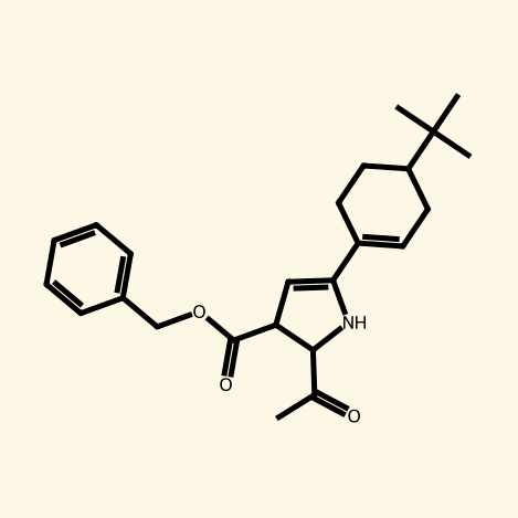 CC(=O)C1NC(C2=CCC(C(C)(C)C)CC2)=CC1C(=O)OCc1ccccc1